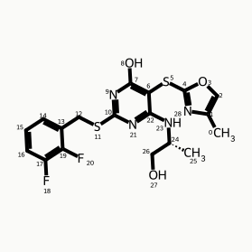 Cc1coc(Sc2c(O)nc(SCc3cccc(F)c3F)nc2N[C@H](C)CO)n1